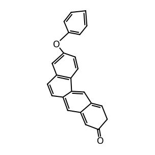 O=C1C=c2cc3ccc4cc(Oc5ccccc5)ccc4c3cc2=CC1